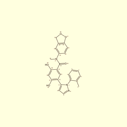 Cc1ccccc1-n1nccc1-c1cc(C(=O)N(C)c2ccc3c(c2)COO3)c(O)cc1O